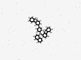 c1ccc2c(N(c3ccc(-c4ccc5oc6ccccc6c5c4)cc3)c3cccc4c3oc3ccccc34)cccc2c1